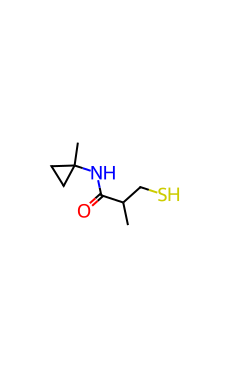 CC(CS)C(=O)NC1(C)CC1